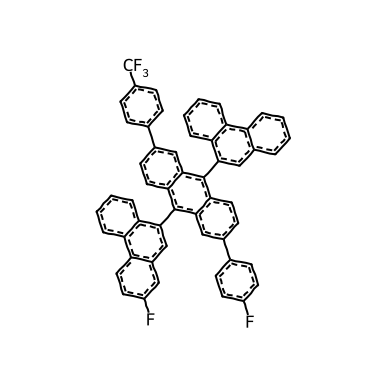 Fc1ccc(-c2ccc3c(-c4cc5ccccc5c5ccccc45)c4cc(-c5ccc(C(F)(F)F)cc5)ccc4c(-c4cc5cc(F)ccc5c5ccccc45)c3c2)cc1